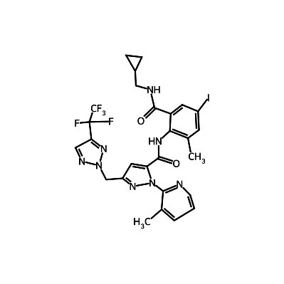 Cc1cccnc1-n1nc(Cn2ncc(C(F)(F)C(F)(F)F)n2)cc1C(=O)Nc1c(C)cc(I)cc1C(=O)NCC1CC1